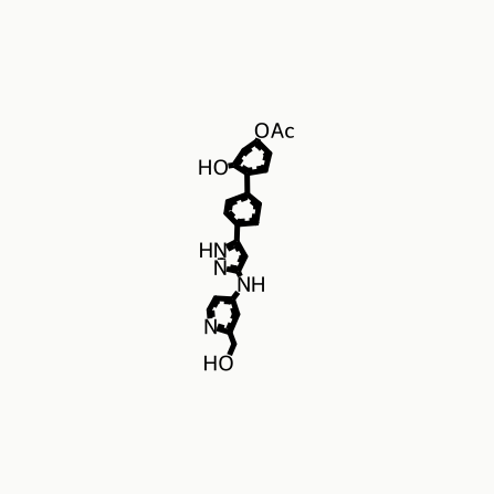 CC(=O)Oc1ccc(-c2ccc(-c3cc(Nc4ccnc(CO)c4)n[nH]3)cc2)c(O)c1